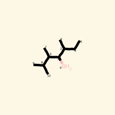 BC(C(C)CC)C(C)C(C)C